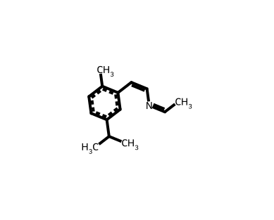 C/C=N\C=C/c1cc(C(C)C)ccc1C